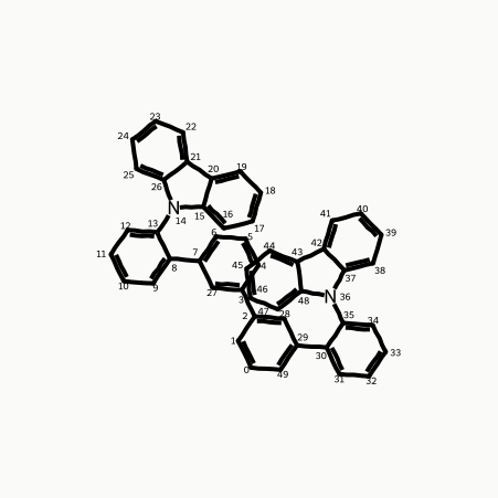 c1cc(-c2cccc(-c3ccccc3-n3c4ccccc4c4ccccc43)c2)cc(-c2ccccc2-n2c3ccccc3c3ccccc32)c1